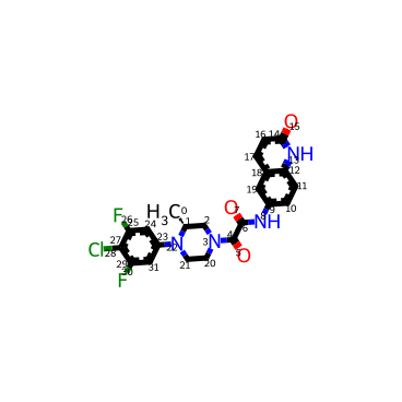 C[C@@H]1CN(C(=O)C(=O)Nc2ccc3[nH]c(=O)ccc3c2)CCN1c1cc(F)c(Cl)c(F)c1